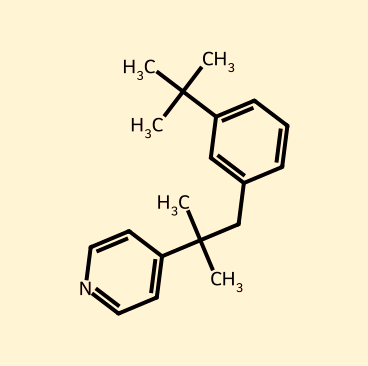 CC(C)(C)c1cccc(CC(C)(C)c2ccncc2)c1